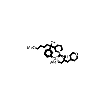 CNCC(CC1CCOCC1)NC(=O)N1CCCC(C(O)(CCCCOC)c2cccc(Cl)c2)C1